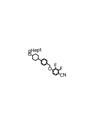 CCCCCCCOC1CCC(c2ccc(COc3ccc(C#N)c(F)c3F)cc2)CC1